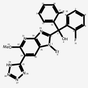 CCn1c(C(O)(c2ccccc2F)c2ccccc2F)nc2nc(OC)c(-c3nnn[nH]3)cc21